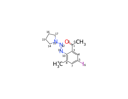 CC(=O)c1cc(I)cc(C)c1/N=N/N1CCCC1